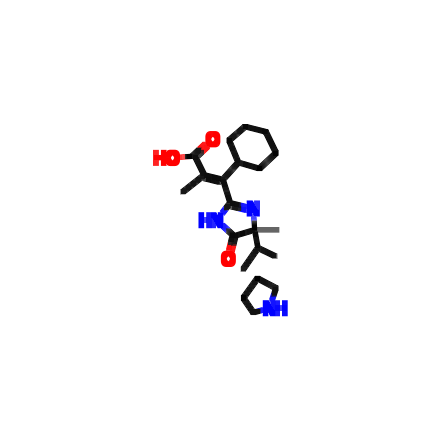 C1CCNC1.CC(C(=O)O)=C(C1=NC(C)(C(C)C)C(=O)N1)C1CCCCC1